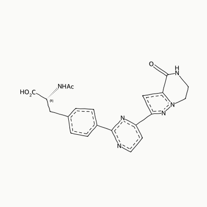 CC(=O)N[C@H](Cc1ccc(-c2nccc(-c3cc4n(n3)CCNC4=O)n2)cc1)C(=O)O